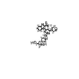 C/C(=C\O)C(C)N[C@H]1CC[C@H](CNc2nc(N3CCOC[C@H]3C)cc(-n3c(C(F)F)nc4ccccc43)n2)CC1